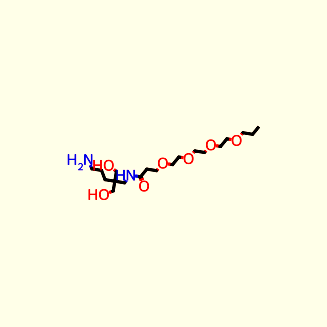 CCCOCCOCCOCCOCCC(=O)NCC(CO)(CO)CCCN